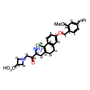 CCCc1ccc(COc2ccc3c(c2)CCC(CC(N)C(=O)CN2CC(C(=O)O)C2)=C3Cl)c(OC)c1